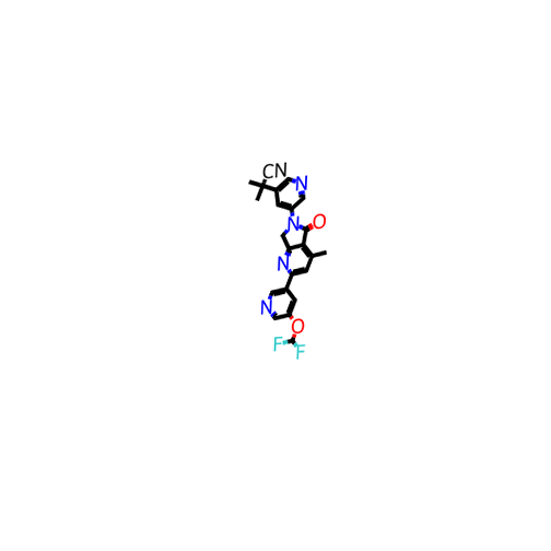 Cc1cc(-c2cncc(OC(F)F)c2)nc2c1C(=O)N(c1cncc(C(C)(C)C#N)c1)C2